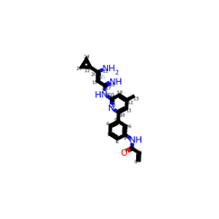 C=CC(=O)Nc1cccc(-c2cc(C)cc(NC(=N)/C=C(\N)C3CC3)n2)c1